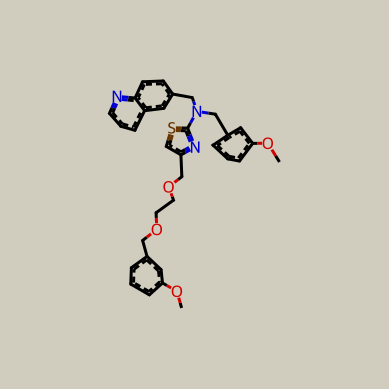 COc1cccc(COCCOCc2csc(N(Cc3cccc(OC)c3)Cc3ccc4ncccc4c3)n2)c1